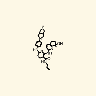 C=CCNC(=O)c1cnc(Nc2ccc(N3CC4CN(C)CC4C3)cc2)nc1Nc1ccc2c(n1)C(C)(O)CC2